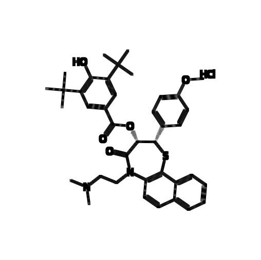 COc1ccc([C@@H]2Sc3c(ccc4ccccc34)N(CCN(C)C)C(=O)[C@@H]2OC(=O)c2cc(C(C)(C)C)c(O)c(C(C)(C)C)c2)cc1.Cl